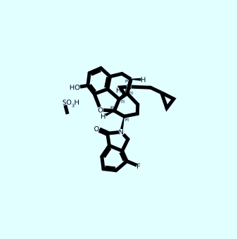 CS(=O)(=O)O.O=C1c2cccc(F)c2CN1[C@@H]1CC[C@@]2(O)[C@H]3Cc4ccc(O)c5c4[C@@]2(CCN3CC2CC2)[C@H]1O5